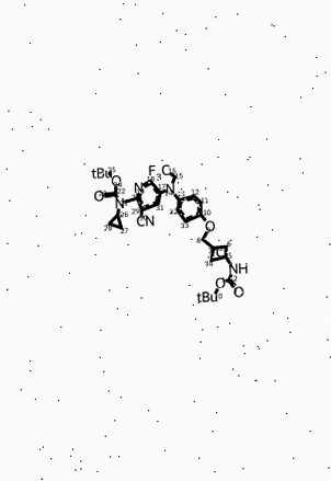 CC(C)(C)OC(=O)NC12CC(COc3ccc(N(CC(F)(F)F)c4cnc(N(C(=O)OC(C)(C)C)C5CC5)c(C#N)c4)cc3)(C1)C2